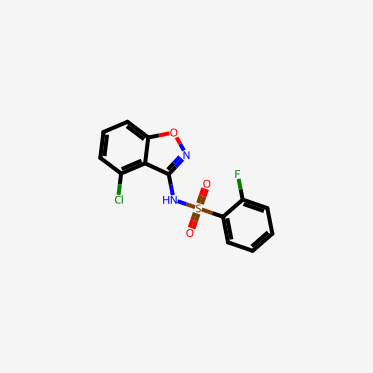 O=S(=O)(Nc1noc2cccc(Cl)c12)c1ccccc1F